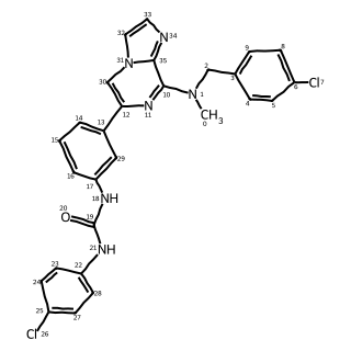 CN(Cc1ccc(Cl)cc1)c1nc(-c2cccc(NC(=O)Nc3ccc(Cl)cc3)c2)cn2ccnc12